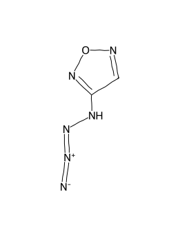 [N-]=[N+]=NNc1cnon1